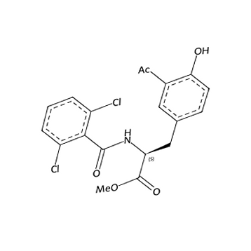 COC(=O)[C@H](Cc1ccc(O)c(C(C)=O)c1)NC(=O)c1c(Cl)cccc1Cl